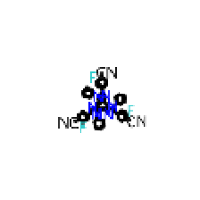 N#Cc1ccc(-c2nc3c(c4nc(-c5ccc(C#N)c(F)c5)n(-c5ccccc5)c4c4nc(-c5ccc(C#N)c(F)c5)n(-c5ccccc5)c34)n2-c2ccccc2)cc1F